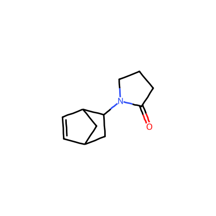 O=C1CCCN1C1CC2C=CC1C2